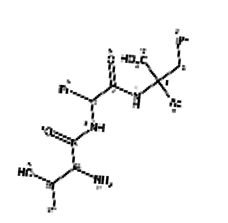 CC(=O)C(CC(C)C)(NC(=O)C(NC(=O)C(N)C(C)O)C(C)C)C(=O)O